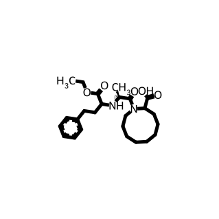 CCOC(=O)C(CCc1ccccc1)N[C@@H](C)C(=O)N1CCCCCCCCC1C(=O)O